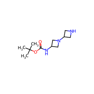 CC(C)(C)OC(=O)NC1CN(C2CNC2)C1